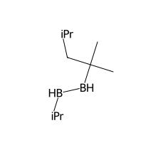 CC(C)BBC(C)(C)CC(C)C